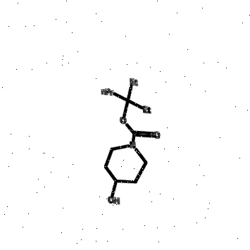 CCCC(CC)(CC)OC(=O)N1CCC(O)CC1